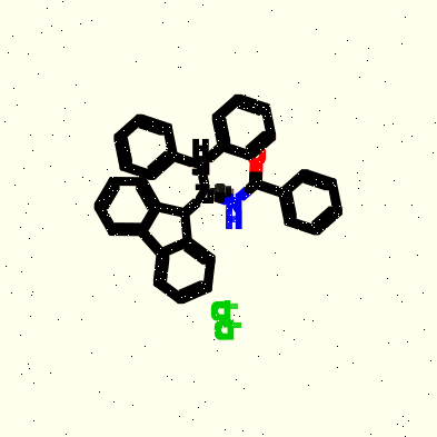 O=C([NH][Zr+2]([CH]1c2ccccc2-c2ccccc21)[SiH](c1ccccc1)c1ccccc1)c1ccccc1.[Cl-].[Cl-]